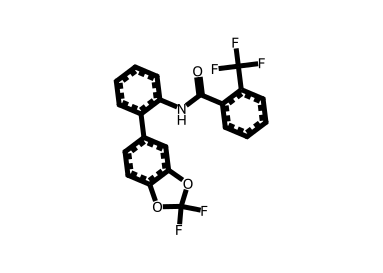 O=C(Nc1ccccc1-c1ccc2c(c1)OC(F)(F)O2)c1ccccc1C(F)(F)F